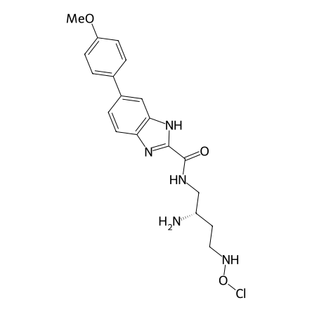 COc1ccc(-c2ccc3nc(C(=O)NC[C@@H](N)CCNOCl)[nH]c3c2)cc1